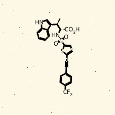 C[C@H](c1c[nH]c2ccccc12)[C@@H](NS(=O)(=O)c1ccc(C#Cc2ccc(C(F)(F)F)cc2)s1)C(=O)O